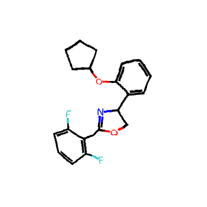 Fc1cccc(F)c1C1=NC(c2ccccc2OC2CCCC2)CO1